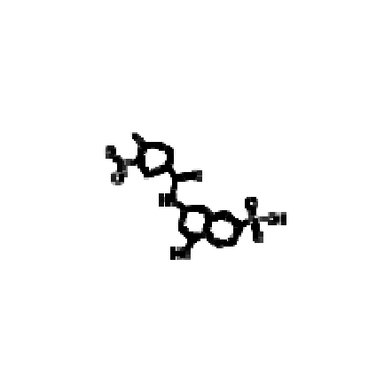 Cc1ccc(C(=O)Nc2cc(O)c3ccc(S(=O)(=O)O)cc3c2)cc1[N+](=O)[O-]